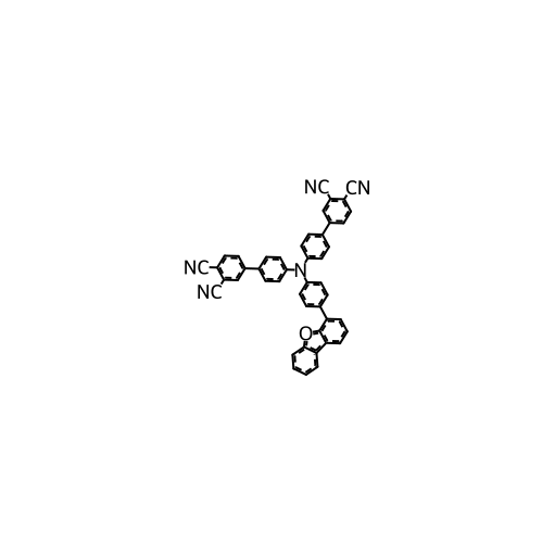 N#Cc1ccc(-c2ccc(N(c3ccc(-c4ccc(C#N)c(C#N)c4)cc3)c3ccc(-c4cccc5c4oc4ccccc45)cc3)cc2)cc1C#N